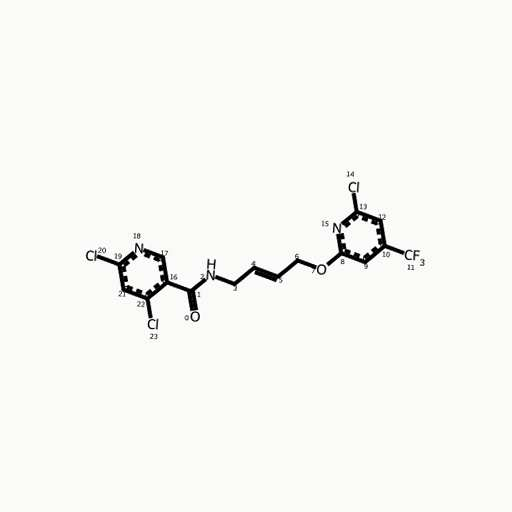 O=C(NCC=CCOc1cc(C(F)(F)F)cc(Cl)n1)c1cnc(Cl)cc1Cl